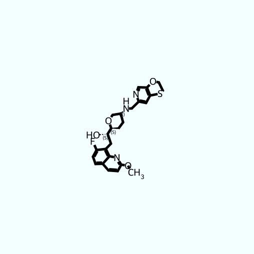 COc1ccc2ccc(F)c(C[C@H](O)[C@@H]3CC[C@@H](NCc4cc5c(cn4)OCCS5)CO3)c2n1